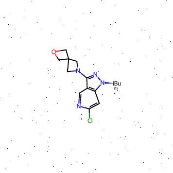 CC[C@H](C)n1nc(N2CC3(COC3)C2)c2cnc(Cl)cc21